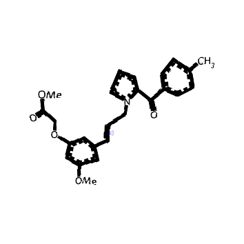 COC(=O)COc1cc(/C=C/Cn2cccc2C(=O)c2ccc(C)cc2)cc(OC)c1